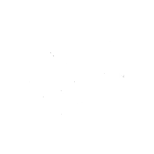 Oc1cc2c(cc1Br)C1(CCCN2)CC1